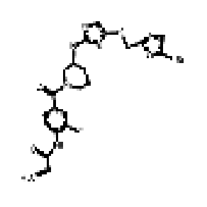 C=CC(=O)Nc1ccc(C(=O)N2CCCC(Nc3ncc(SCc4ncc(C(C)(C)C)o4)s3)C2)cc1F